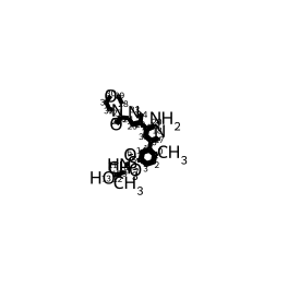 Cc1ccc(S(=O)(=O)NCC(C)(C)O)cc1-c1cnc(N)c(C2=CC(C(=O)N3CCOCC3)=NC2)c1